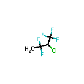 CC(F)(F)C(Cl)C(F)(F)F